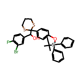 CC(C)(C)[Si](Oc1ccc(C2(C(O)c3ccc(F)c(Br)c3)SCCCS2)cc1)(c1ccccc1)c1ccccc1